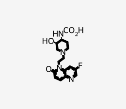 O=C(O)N[C@@H]1CCN(CCn2c(=O)ccc3ncc(F)cc32)C[C@H]1O